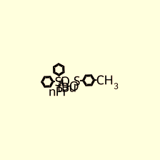 CCCC(OSc1ccc(C)cc1)O[Si](c1ccccc1)(c1ccccc1)C(C)(C)C